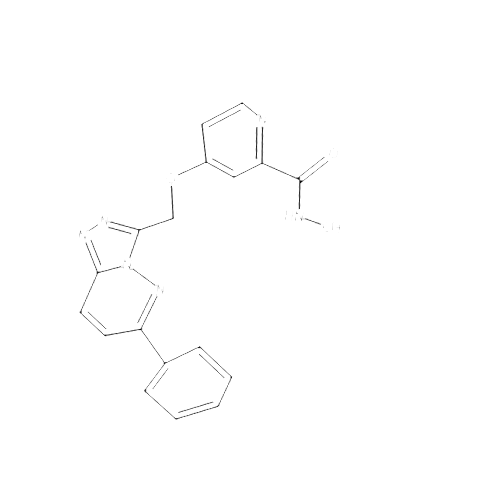 CNC(=O)c1cc(OCc2nnc3ccc(-c4ccccc4)nn23)ccn1